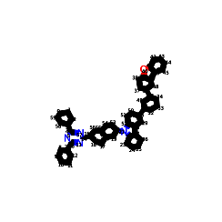 c1ccc(-c2nc(-c3ccccc3)nc(-c3ccc4cc(-n5c6ccccc6c6cc(-c7cccc(-c8ccc9oc%10ccccc%10c9c8)c7)ccc65)ccc4c3)n2)cc1